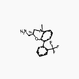 CN1C[C@H](CN)Oc2c(-c3ccccc3C(F)(F)F)cccc21